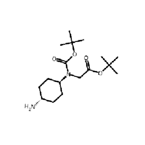 CC(C)(C)OC(=O)CN(C(=O)OC(C)(C)C)[C@H]1CC[C@H](N)CC1